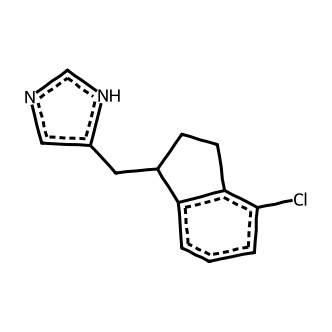 Clc1cccc2c1CCC2Cc1cnc[nH]1